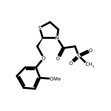 COc1ccccc1OC[C@H]1SCCN1C(=O)CS(C)(=O)=O